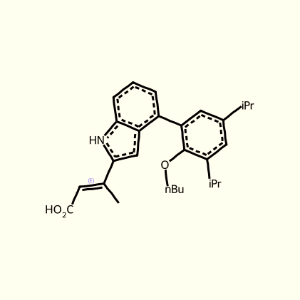 CCCCOc1c(-c2cccc3[nH]c(/C(C)=C/C(=O)O)cc23)cc(C(C)C)cc1C(C)C